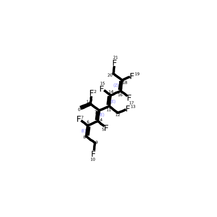 C=C(F)C(=C(F)\C(F)=C/CF)/C(CF)=C(F)/C(F)=C(/F)CF